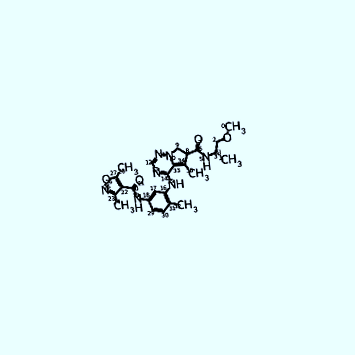 COC[C@H](C)NC(=O)C1CN2N=CN=C(Nc3cc(NC(=O)c4c(C)noc4C)ccc3C)C2=C1C